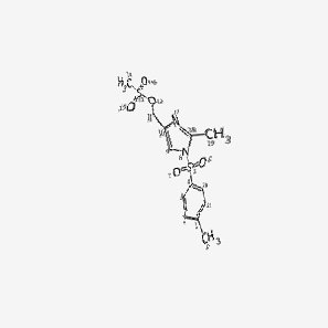 Cc1ccc(S(=O)(=O)n2cc(COS(C)(=O)=O)nc2C)cc1